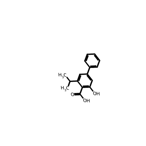 CC(C)c1cc(-c2ccccc2)cc(O)c1C(=O)O